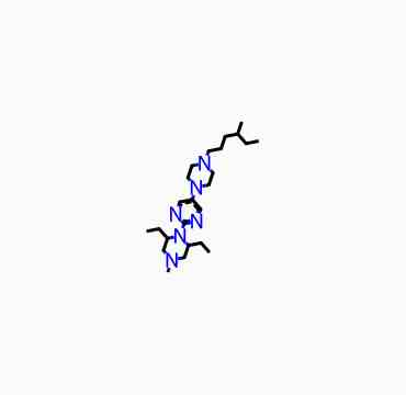 CCC(C)CCCN1CCN(c2cnc(N3C(CC)CN(C)CC3CC)nc2)CC1